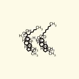 CCCCCCC(C(=O)O)[C@]1(C)CC[C@@]2(C)[C@@H](CC[C@@H]3[C@@H]2CC[C@]2(C)[C@@H](C(C)=O)CC[C@@H]32)C1.CCCCCCCC(=O)O[C@]1(C)CC[C@@]2(C)[C@@H](CC[C@@H]3[C@@H]2CC[C@]2(C)[C@@H](C(C)=O)CC[C@@H]32)C1